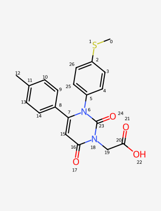 CSc1ccc(-n2c(-c3ccc(C)cc3)cc(=O)n(CC(=O)O)c2=O)cc1